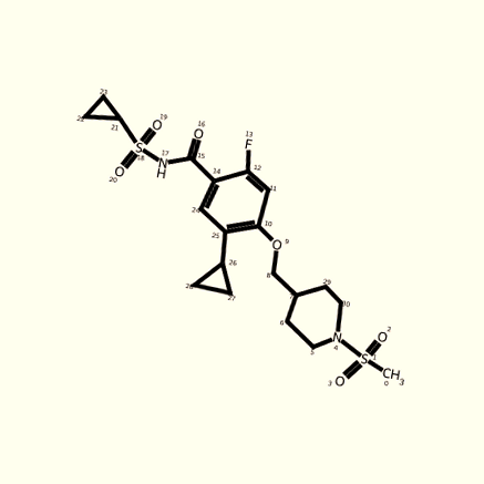 CS(=O)(=O)N1CCC(COc2cc(F)c(C(=O)NS(=O)(=O)C3CC3)cc2C2CC2)CC1